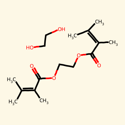 CC(C)=C(C)C(=O)OCCOC(=O)C(C)=C(C)C.OCCO